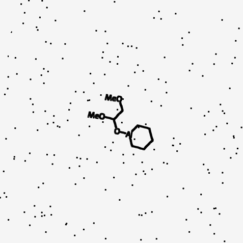 COCC(OC)[O][Al]1[CH2]CCC[CH2]1